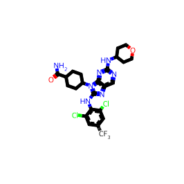 NC(=O)C1CCC(n2c(Nc3c(Cl)cc(C(F)(F)F)cc3Cl)nc3cnc(NC4CCOCC4)nc32)CC1